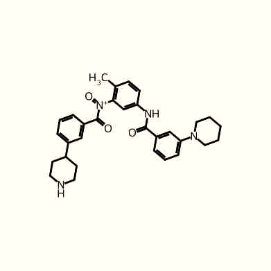 Cc1ccc(NC(=O)c2cccc(N3CCCCC3)c2)cc1[N+](=O)C(=O)c1cccc(C2CCNCC2)c1